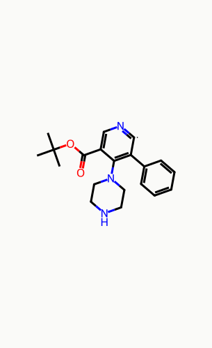 CC(C)(C)OC(=O)c1cn[c]c(-c2ccccc2)c1N1CCNCC1